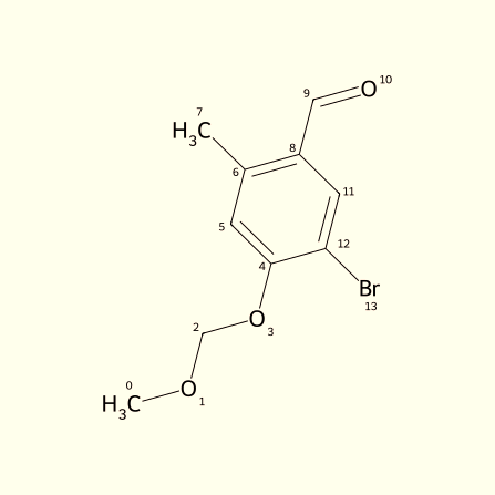 COCOc1cc(C)c(C=O)cc1Br